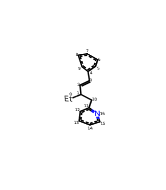 CCC(C=Cc1ccccc1)Cc1ccccn1